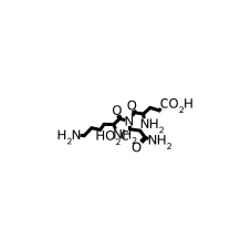 NCCCCC(N)C(=O)N(C(=O)C(N)CCC(=O)O)C(CC(N)=O)C(=O)O